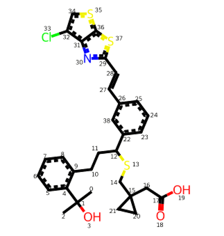 CC(C)(O)c1ccccc1CCC(SCC1(CC(=O)O)CC1)c1cccc(C=Cc2nc3c(Cl)csc3s2)c1